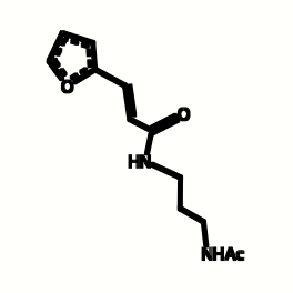 CC(=O)NCCCNC(=O)/C=C/c1ccco1